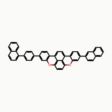 c1ccc2cc(-c3ccc4c(c3)Oc3ccc5c6c(ccc-4c36)-c3ccc(-c4ccc(-c6cccc7ccccc67)cc4)cc3O5)ccc2c1